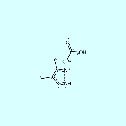 Cc1c[nH]nc1C.O=C(O)Cl